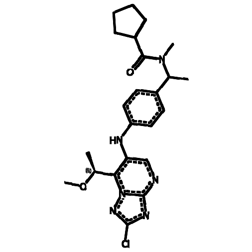 CO[C@@H](C)c1c(Nc2ccc(C(C)N(C)C(=O)C3CCCC3)cc2)cnc2nc(Cl)nn12